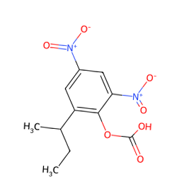 CCC(C)c1cc([N+](=O)[O-])cc([N+](=O)[O-])c1OC(=O)O